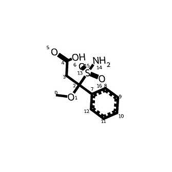 COC(CC(=O)O)(c1ccccc1)S(N)(=O)=O